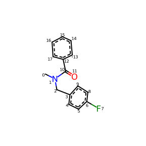 CN(Cc1ccc(F)cc1)C(=O)c1[c]cccc1